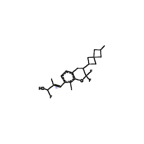 C/C(=C\c1ccc2c(c1C)OC(F)(F)C(C1CC3(CC(C)C3)C1)C2)C(O)F